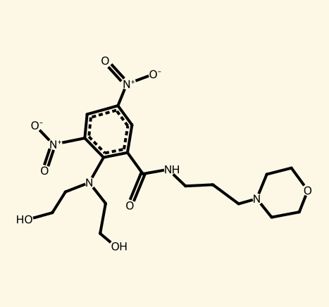 O=C(NCCCN1CCOCC1)c1cc([N+](=O)[O-])cc([N+](=O)[O-])c1N(CCO)CCO